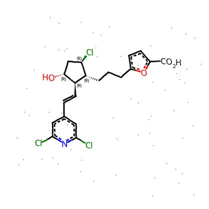 O=C(O)c1ccc(CCC[C@@H]2[C@@H](C=Cc3cc(Cl)nc(Cl)c3)[C@H](O)C[C@H]2Cl)o1